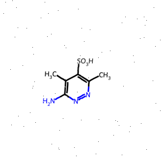 Cc1nnc(N)c(C)c1S(=O)(=O)O